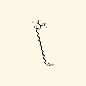 CCCCCCCCCCCCCCCCCCCCCCCCCC(=O)OC(CS(=O)(=O)O)C(F)(F)F